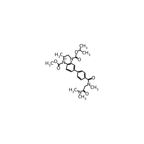 COC(=O)N1c2ccc(-c3ccc(C(=O)N(C)CC(=O)N(C)C)cc3)cc2N(C(=O)OC(C)C)C[C@@H]1C